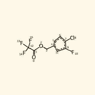 O=C(OCc1ccc(Cl)c(F)c1)C(F)(F)F